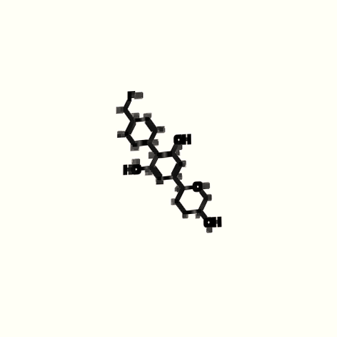 Oc1cc(C2CCC(O)CO2)cc(O)c1-c1ccc(CF)cc1